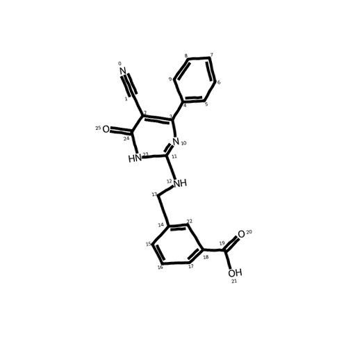 N#Cc1c(-c2ccccc2)nc(NCc2cccc(C(=O)O)c2)[nH]c1=O